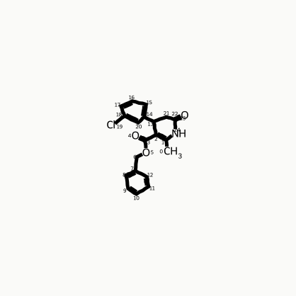 CC1=C(C(=O)OCc2ccccc2)C(c2cccc(Cl)c2)CC(=O)N1